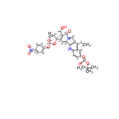 CCc1c2c(nc3ccc(OC(=O)OC(C)(C)C)cc13)-c1cc(C(CC)OC(=O)Oc3ccc([N+](=O)[O-])cc3)c(CO)c(=O)n1C2